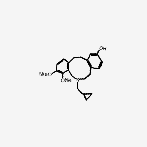 COc1ccc2c(c1OC)CN(CC1CC1)CCc1ccc(O)cc1CC2